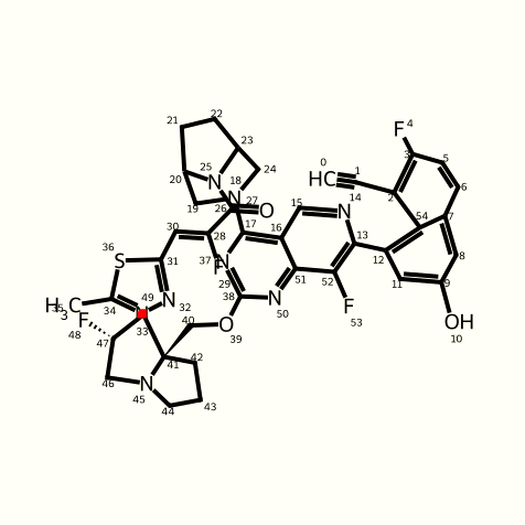 C#Cc1c(F)ccc2cc(O)cc(-c3ncc4c(N5CC6CCC(C5)N6C(=O)/C(F)=C/c5nnc(C)s5)nc(OC[C@@]56CCCN5C[C@H](F)C6)nc4c3F)c12